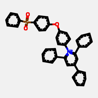 O=S(=O)(c1ccccc1)c1ccc(Oc2ccc(-[n+]3c(-c4ccccc4)cc(-c4ccccc4)cc3-c3ccccc3)cc2)cc1